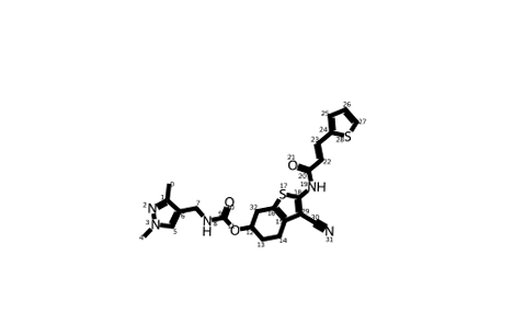 Cc1nn(C)cc1CNC(=O)OC1CCc2c(sc(NC(=O)C=Cc3cccs3)c2C#N)C1